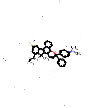 C=CCc1cc(F)cc2c1C(C)(C)c1c3c(c4ccccc4c1-2)OC(c1ccccc1)(c1ccc(N(C)C)cc1)C=C3